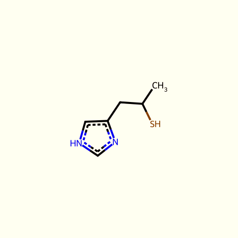 CC(S)Cc1c[nH]cn1